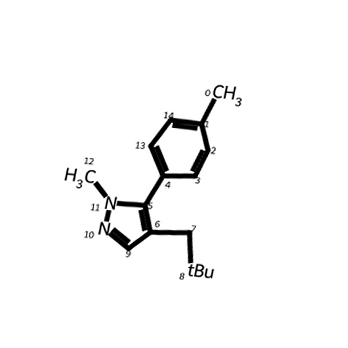 Cc1ccc(-c2c(CC(C)(C)C)cnn2C)cc1